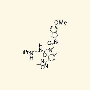 COc1ccc2c(c1)CC(N(C)C(=O)CN(CC(=O)NCCNC(C)C)c1cc(-c3noc(C)n3)ccc1C)C2